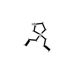 C=CC[N+]1(CC=C)CCNC1